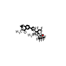 CN(C(=O)c1cc(-c2cnn(-c3c(C(F)C(F)F)c(OS(=O)(=O)C(F)(C(F)(F)F)C(F)(F)F)nn3C)c2)ccc1Cl)C1CC1